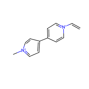 C=C[n+]1ccc(-c2cc[n+](C)cc2)cc1